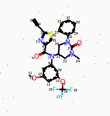 C#Cc1nc(C(=O)N(c2cc(OC)cc(OC(F)(F)F)c2)C2CN(C)C(=O)N(c3ccccc3)C2)cs1